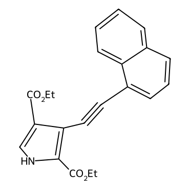 CCOC(=O)c1c[nH]c(C(=O)OCC)c1C#Cc1cccc2ccccc12